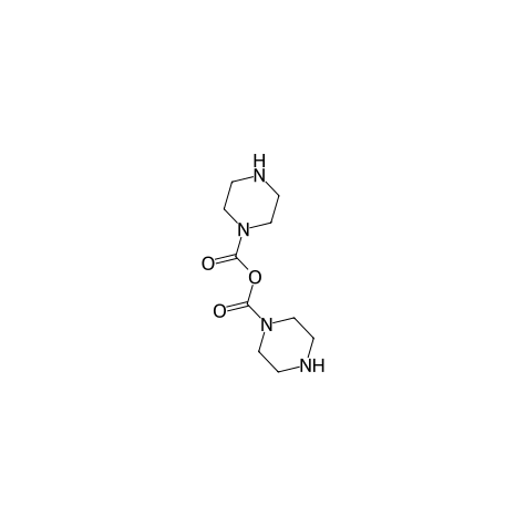 O=C(OC(=O)N1CCNCC1)N1CCNCC1